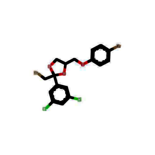 Clc1cc(Cl)cc(C2(CBr)OCC(COc3ccc(Br)cc3)O2)c1